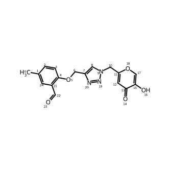 Cc1ccc(OCc2cn(Cc3cc(=O)c(O)co3)nn2)c(C=O)c1